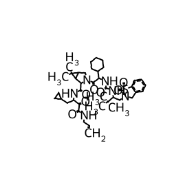 C=CCNC(=O)C(=O)C(CC1CC1)NC(=O)C1C2C(CN1C(=O)C(NC(=O)NC(CN1Cc3ccccc3S1(=O)=O)C(C)(C)C)C1CCCCC1)C2(C)C